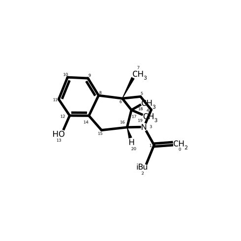 C=C(C(C)CC)N1CC[C@@]2(C)c3cccc(O)c3C[C@@H]1C2(C)C